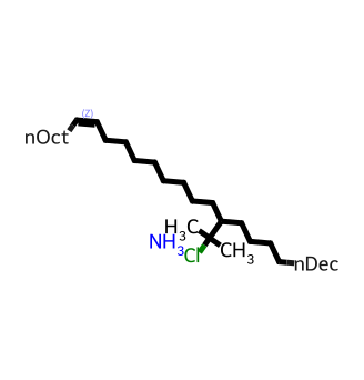 CCCCCCCC/C=C\CCCCCCCCC(CCCCCCCCCCCCCC)C(C)(C)Cl.N